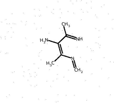 C=N/C(C)=C(/N)C(C)=N